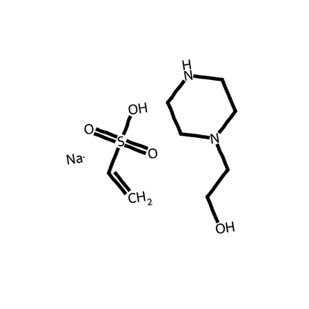 C=CS(=O)(=O)O.OCCN1CCNCC1.[Na]